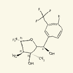 C[C@@]1(O)C([C@H](O)c2ccc(F)c(C(F)(F)F)c2)O[C@@H](N)[C@@H]1O